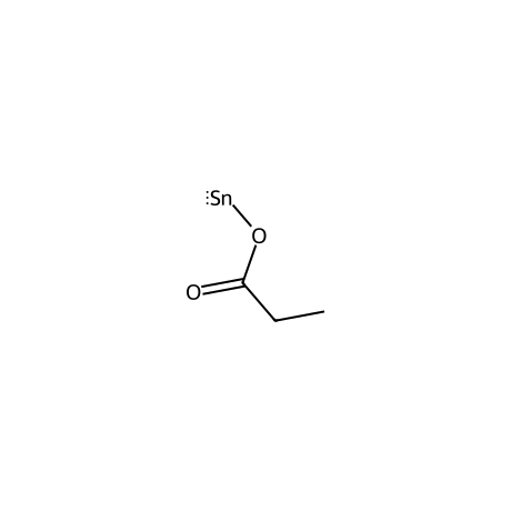 CCC(=O)[O][Sn]